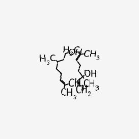 C=CC(C)(O)CCC=C(C)C.CC(C)=CCCC(C)CCO